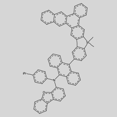 CC(C)c1ccc(N(c2c3ccccc3c(-c3ccc4c(c3)-c3cc5c(cc3[Si]4(C)C)c3ccccc3c3cc4ccccc4cc53)c3ccccc23)c2cccc3c2oc2ccccc23)cc1